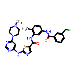 Cc1ccc(NC(=O)c2cccc(CF)c2)cc1NC(=O)c1cnc(Nc2cc(N3CCN(C)CC3)ncn2)s1